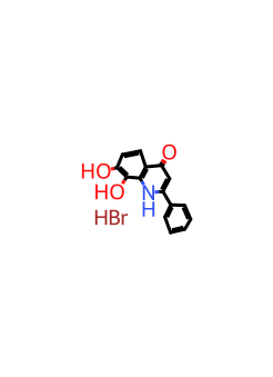 Br.O=c1cc(-c2ccccc2)[nH]c2c(O)c(O)ccc12